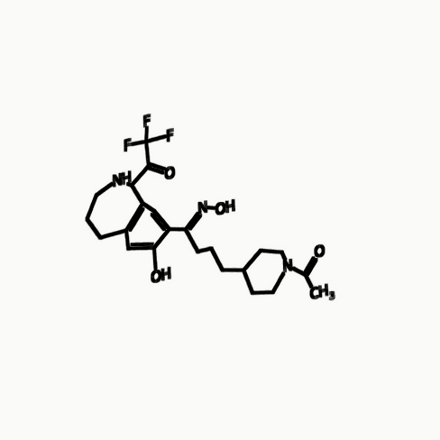 CC(=O)N1CCC(CCCC(=NO)c2cc3c(cc2O)CCCNC3C(=O)C(F)(F)F)CC1